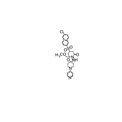 COCC12CC(S(=O)(=O)c3ccc4cc(Cl)ccc4c3)CC(=O)N1NC1(CCN(c3ccncc3)CC1)O2